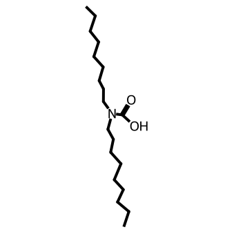 CCCCCCCCCN(CCCCCCCCC)C(=O)O